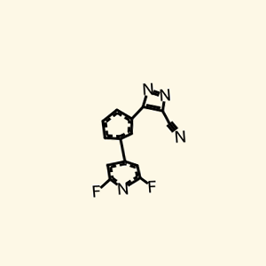 N#CC1=C(c2cccc(-c3cc(F)nc(F)c3)c2)N=N1